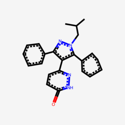 CC(C)Cn1nc(-c2ccccc2)c(-c2ccc(=O)[nH]n2)c1-c1ccccc1